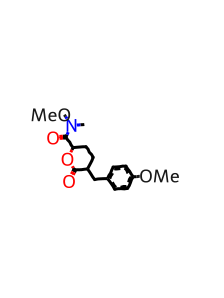 COc1ccc(CC2CCC(C(=O)N(C)OC)OC2=O)cc1